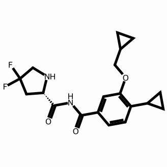 O=C(NC(=O)[C@@H]1CC(F)(F)CN1)c1ccc(C2CC2)c(OCC2CC2)c1